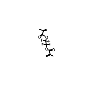 C=C(C)C(=O)OC(F)(F)C(F)(F)OC(=O)C(=C)C